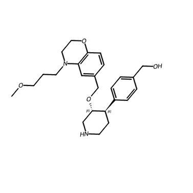 COCCCN1CCOc2ccc(CO[C@H]3CNCC[C@@H]3c3ccc(CO)cc3)cc21